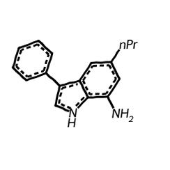 CCCc1cc(N)c2[nH]cc(-c3ccccc3)c2c1